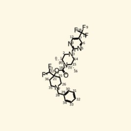 C[C@@H]1CN(c2ncc(C(F)(F)F)cn2)C[C@H](C)N1C(=O)OC1(C(F)F)CCN(Cc2ccccc2)CC1